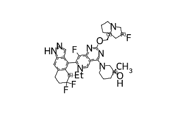 CC[C@H]1c2c(cc3[nH]ncc3c2-c2ncc3c(N4CCC[C@@](C)(O)C4)nc(OC[C@@]45CCCN4C[C@H](F)C5)nc3c2F)CCC1(F)F